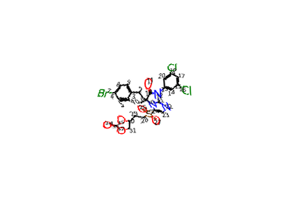 C[C@@]1(Cc2ccc(Br)cc2)C(=O)N(c2cc(Cl)cc(Cl)c2)c2ncc(S(=O)(=O)CCC3COC(=O)O3)n21